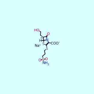 NS(=O)(=O)CCCSC1=C(C(=O)[O-])N2C(=O)[C@H](CCO)[C@H]2S1.[Na+]